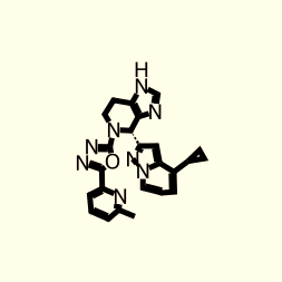 Cc1cccc(-c2nnc(N3CCc4[nH]cnc4[C@@H]3c3cc4c(C5CC5)cccn4n3)o2)n1